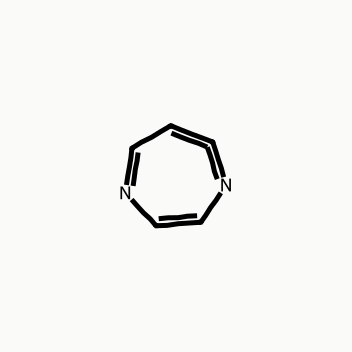 C1=CC=NC=CN=1